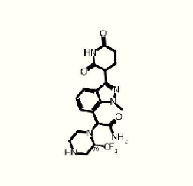 Cn1nc(C2CCC(=O)NC2=O)c2cccc(C(C(N)=O)N3CCNC[C@@H]3C(F)(F)F)c21